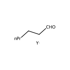 CCCCCC=O.[Y]